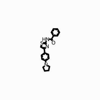 O=C(Nc1nc(-c2ccc(N3CCCC3)cc2)cs1)c1ccccc1